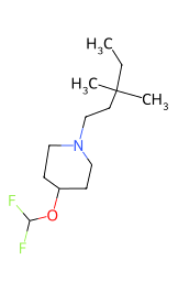 CCC(C)(C)CCN1CCC(OC(F)F)CC1